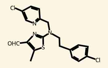 Cc1sc(N(CCc2ccc(Cl)cc2)Cc2ccc(Cl)cn2)nc1C=O